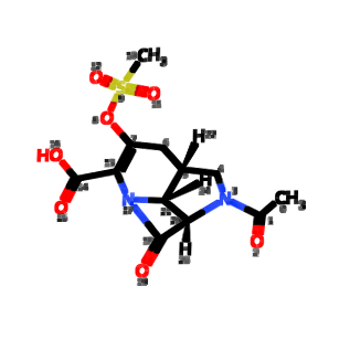 CC(=O)N1C[C@H]2CC(OS(C)(=O)=O)=C(C(=O)O)N3C(=O)[C@@H]1[C@@H]23